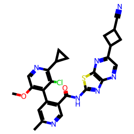 COc1cnc(C2CC2)c(Cl)c1-c1cc(C)ncc1C(=O)Nc1nc2ncc(C3CC(C#N)C3)nc2s1